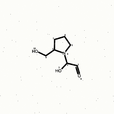 O=CC(O)N1CCCC1CO